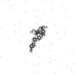 CO[C@H](Cn1c(Cc2ccc(-c3cccc(OCc4ccc(C#N)cc4F)n3)cc2)nc2ccc(C(=O)O)cc21)C(N)=O